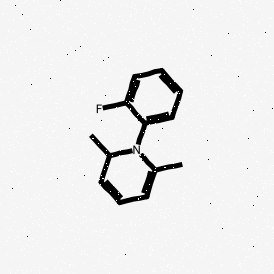 CC1=CC=CC(C)N1c1ccccc1F